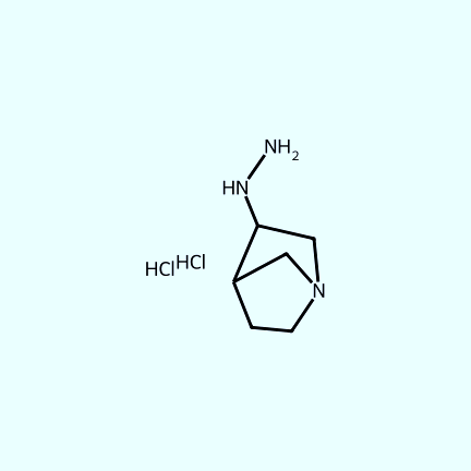 Cl.Cl.NNC1CN2CCC1C2